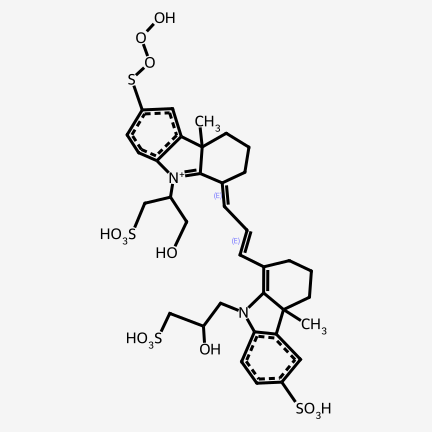 CC12CCCC(/C=C/C=C3\CCCC4(C)C3=[N+](C(CO)CS(=O)(=O)O)c3ccc(SOOO)cc34)=C1N(CC(O)CS(=O)(=O)O)c1ccc(S(=O)(=O)O)cc12